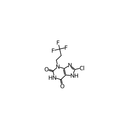 O=c1[nH]c(=O)n(CCC(F)(F)F)c2nc(Cl)[nH]c12